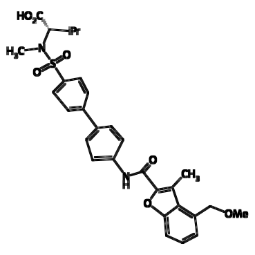 COCc1cccc2oc(C(=O)Nc3ccc(-c4ccc(S(=O)(=O)N(C)[C@H](C(=O)O)C(C)C)cc4)cc3)c(C)c12